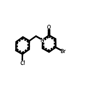 O=c1cc(Br)ccn1Cc1cccc(Cl)c1